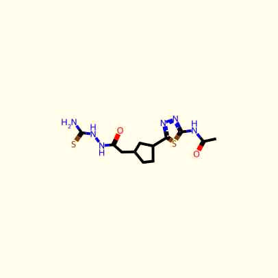 CC(=O)Nc1nnc(C2CCC(CC(=O)NNC(N)=S)C2)s1